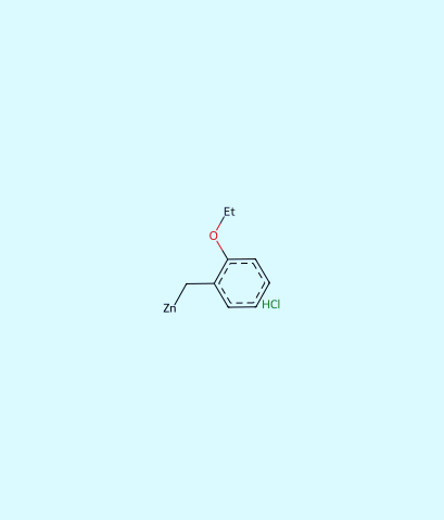 CCOc1ccccc1[CH2][Zn].Cl